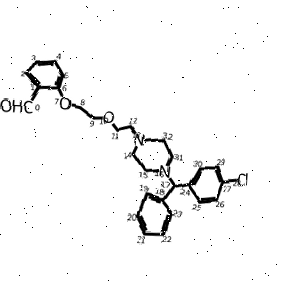 O=Cc1ccccc1OCCOCCN1CCN(C(c2ccccc2)c2ccc(Cl)cc2)CC1